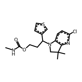 CNC(=O)OCCC(c1ccsc1)N1CC(C)(C)c2nc(Cl)ccc21